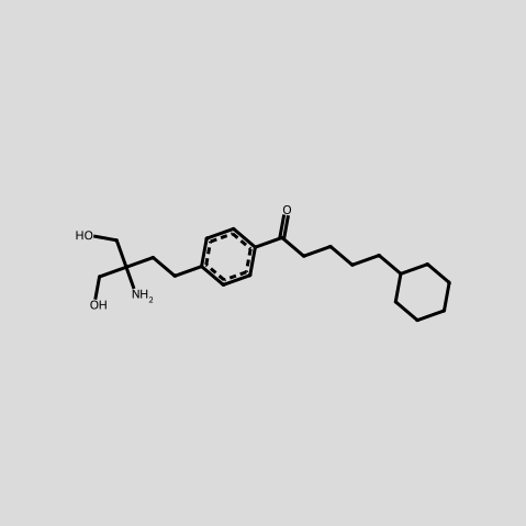 NC(CO)(CO)CCc1ccc(C(=O)CCCCC2CCCCC2)cc1